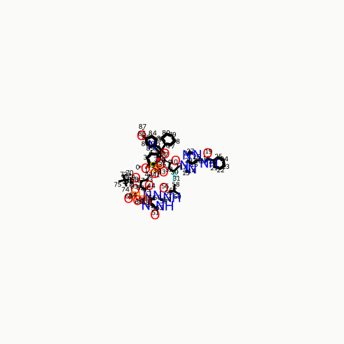 COc1ccc(C(OC[C@H]2O[C@@H](n3cnc4c(NC(=O)c5ccccc5)ncnc43)[C@H](F)[C@@H]2OP(=S)(OCCC#N)OC[C@H]2O[C@@H](n3cnc4c(=O)[nH]c(NC(=O)C(C)C)nc43)[C@H](O[PH](=O)O)[C@@H]2O[Si](C)(C)C(C)(C)C)(c2ccccc2)c2ccc(OC)cc2)cc1